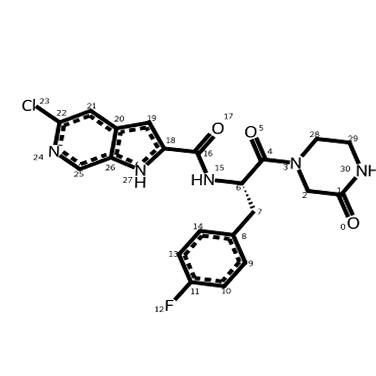 O=C1CN(C(=O)[C@H](Cc2ccc(F)cc2)NC(=O)c2cc3cc(Cl)ncc3[nH]2)CCN1